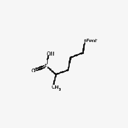 CCCCCCCCC(C)[PH](=O)O